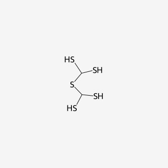 SC(S)SC(S)S